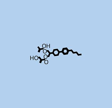 C=C(CO)C(=O)OCC(COC(O)C(=C)C)C1CCC(c2ccc(CCCCC)cc2)CC1